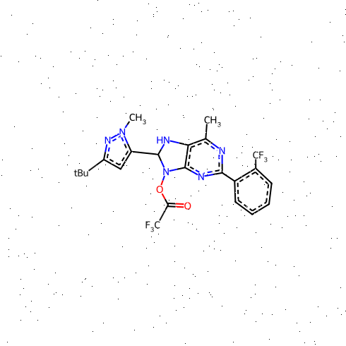 Cc1nc(-c2ccccc2C(F)(F)F)nc2c1NC(c1cc(C(C)(C)C)nn1C)N2OC(=O)C(F)(F)F